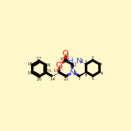 N[C@@H]1CCCC[C@H]1CN1CC(=O)O[C@@H](Cc2ccccc2)C1